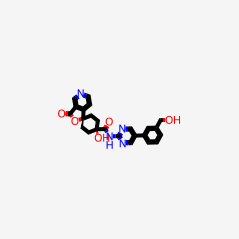 O=C1O[C@]2(CC[C@@](O)(C(=O)Nc3ncc(-c4cccc(CO)c4)cn3)CC2)c2ccncc21